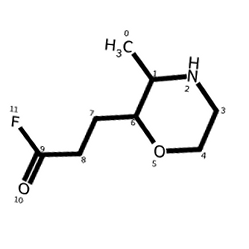 CC1NCCOC1CCC(=O)F